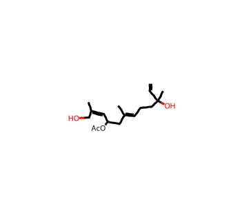 C=CC(C)(O)CC/C=C(\C)CC(/C=C(/C)CO)OC(C)=O